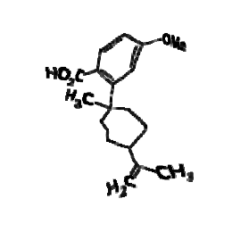 C=C(C)C1CCC(C)(c2cc(OC)ccc2C(=O)O)CC1